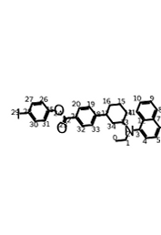 CCN(c1cccc2ccccc12)C1CCCC(c2ccc(C(=O)Oc3ccc(I)cc3)cc2)C1